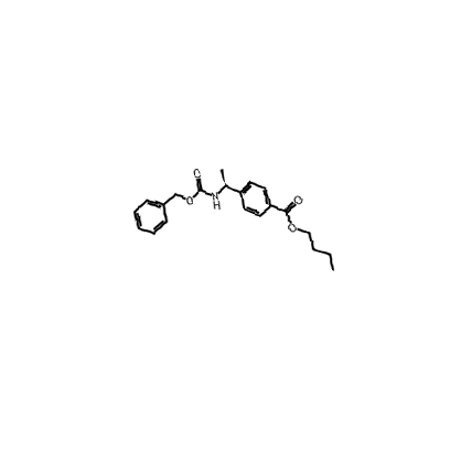 CCCCOC(=O)c1ccc([C@H](C)NC(=O)OCc2ccccc2)cc1